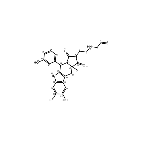 C=CCNCCN1C(=O)N2C(c3cccc(O)c3)c3[nH]c4cc(F)c(Cl)cc4c3CC2(C)C1=O